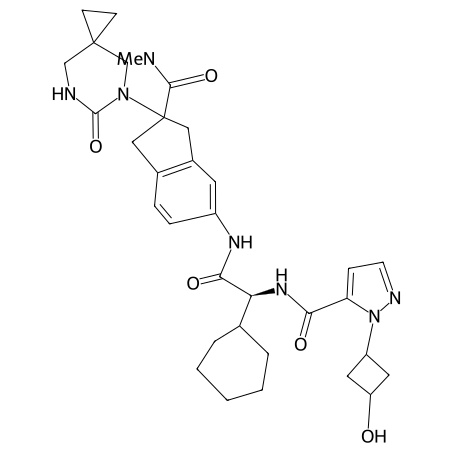 CNC(=O)C1(N2CC3(CC3)CNC2=O)Cc2ccc(NC(=O)[C@@H](NC(=O)c3ccnn3C3CC(O)C3)C3CCCCC3)cc2C1